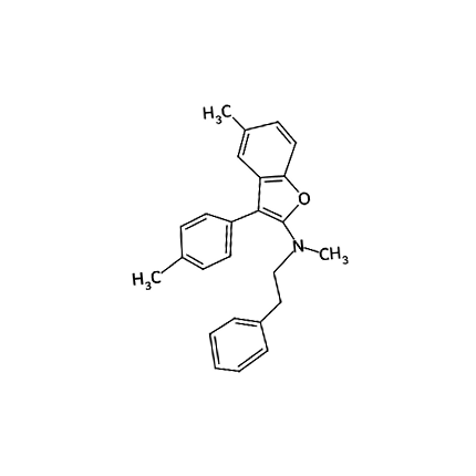 Cc1ccc(-c2c(N(C)CCc3ccccc3)oc3ccc(C)cc23)cc1